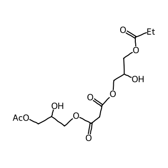 CCC(=O)OCC(O)COC(=O)CC(=O)OCC(O)COC(C)=O